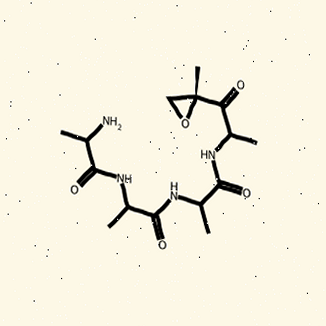 CC(N)C(=O)NC(C)C(=O)NC(C)C(=O)NC(C)C(=O)[C@@]1(C)CO1